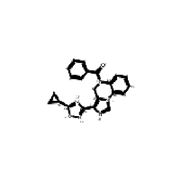 O=C(c1ccccc1)N1Cc2c(-c3noc(C4CC4)n3)ncn2-c2ccccc21